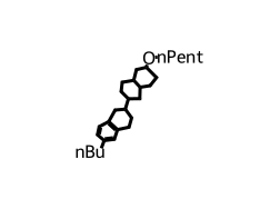 CCCCCOC1CCC2CC(C3CCc4cc(CCCC)ccc4C3)CCC2C1